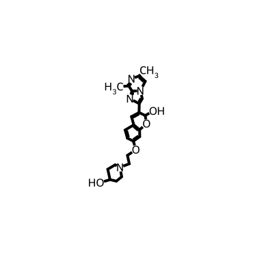 Cc1cn2cc(C3=Cc4ccc(OCCN5CCC(O)CC5)cc4OC3O)nc2c(C)n1